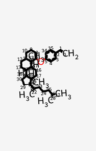 C=Cc1ccc(OC2CCCC3CC[C@@H]4[C@H](CC[C@]5(C)[C@@H]([C@H](C)CCCC(C)C)CC[C@@H]45)[C@]32C)cc1